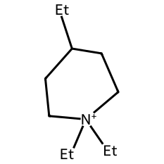 CCC1CC[N+](CC)(CC)CC1